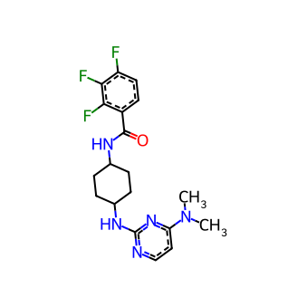 CN(C)c1ccnc(NC2CCC(NC(=O)c3ccc(F)c(F)c3F)CC2)n1